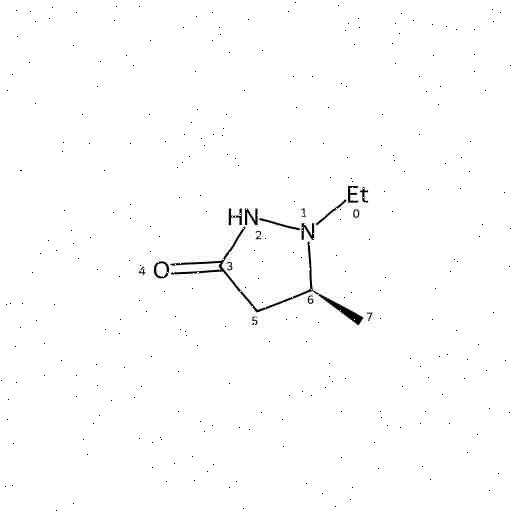 CCN1NC(=O)C[C@@H]1C